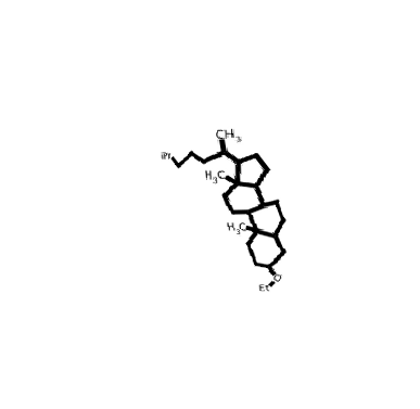 CCOC1CCC2(C)C(CCC3C2CCC2(C)C(C(C)CCCC(C)C)CCC32)C1